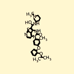 Cc1cc(Oc2ccccc2OC(C)C)ccc1N1C(=O)Nc2c(C(O)N[C@@H]3CCCN(C)C3)sc3nccc1c23